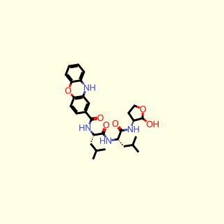 CC(C)C[C@H](NC(=O)c1ccc2c(c1)Nc1ccccc1O2)C(=O)N[C@@H](CC(C)C)C(=O)N[C@H]1CCOC1O